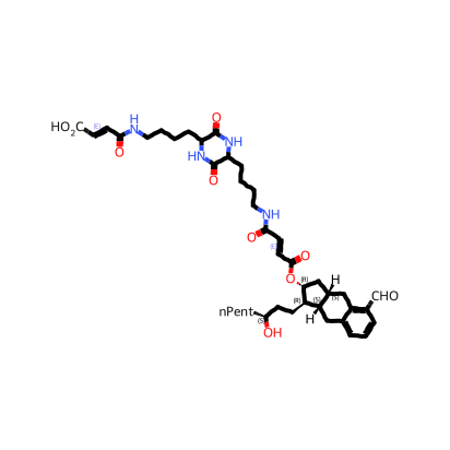 CCCCC[C@H](O)CC[C@@H]1[C@H]2Cc3cccc(C=O)c3C[C@H]2C[C@H]1OC(=O)/C=C/C(=O)NCCCCC1NC(=O)C(CCCCNC(=O)/C=C/C(=O)O)NC1=O